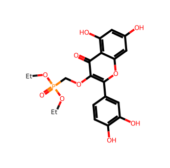 CCOP(=O)(COc1c(-c2ccc(O)c(O)c2)oc2cc(O)cc(O)c2c1=O)OCC